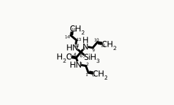 C=CCNC(=C)C([SiH3])(NCC=C)NCC=C